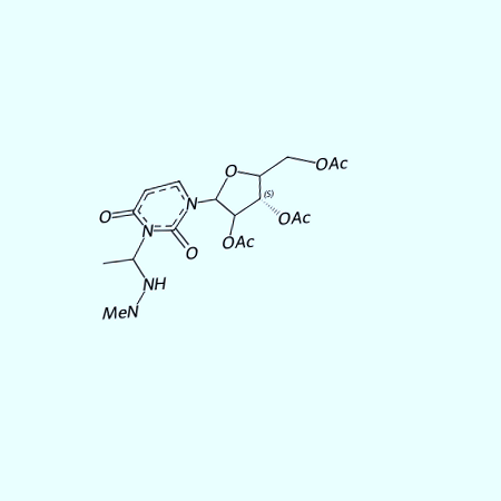 CNNC(C)n1c(=O)ccn(C2OC(COC(C)=O)[C@H](OC(C)=O)C2OC(C)=O)c1=O